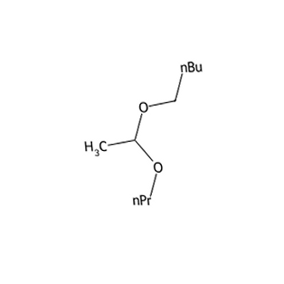 CCCCCOC(C)OCCC